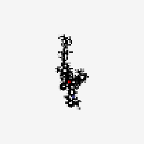 CCC(C)(C)C(=O)OCCNC(=O)OCCSc1c(F)c(F)c(S(=O)(=O)NS(=O)(=O)c2ccccc2-c2c3cc/c(=N\c4c(C(C)C)cccc4C(C)C)cc-3oc3cc(Nc4c(C(C)C)cccc4C(C)C)ccc23)c(F)c1F